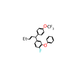 CCC=CC(c1ccc(OC(F)(F)F)cc1)c1ccc(F)c(Oc2ccccc2)c1